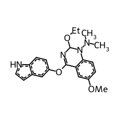 CCOC1N=C(Oc2ccc3[nH]ccc3c2)c2cc(OC)ccc2N1N(C)C